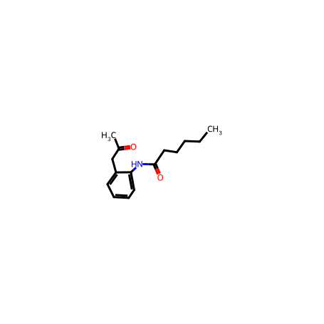 CCCCCC(=O)Nc1ccccc1CC(C)=O